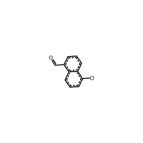 O=Cc1cccc2c(Cl)cccc12